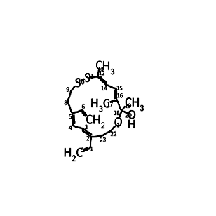 C=C/C1=C\C=C(/C=C)CCSS/C(C)=C/C=C(\C)C(C)(O)OCC1